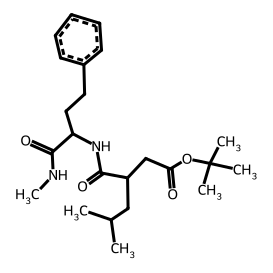 CNC(=O)C(CCc1ccccc1)NC(=O)C(CC(=O)OC(C)(C)C)CC(C)C